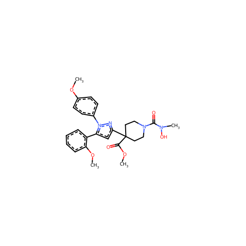 COC(=O)C1(c2cc(-c3ccccc3OC)n(-c3ccc(OC)cc3)n2)CCN(C(=O)N(C)O)CC1